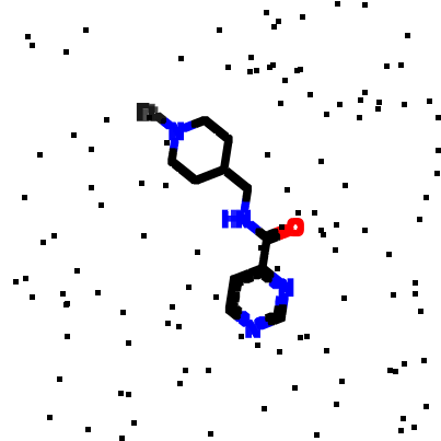 CCN1CCC(CNC(=O)c2ccncn2)CC1